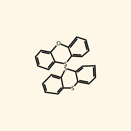 c1ccc2c(c1)Oc1ccccc1S2.c1ccc2c(c1)Sc1ccccc1S2